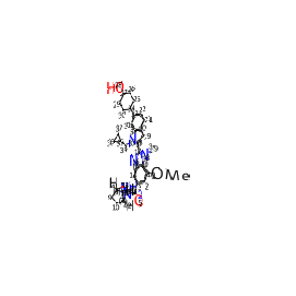 COc1cc(C(=O)N2C[C@H]3CC[C@@H]2[C@@H]3N)cc2nc(-c3cc4ccc(C5CCC(O)CC5)cc4n3CC3CC3)n(C)c12